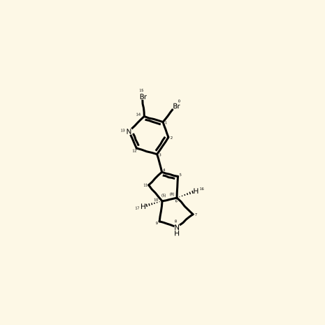 Brc1cc(C2=C[C@H]3CNC[C@H]3C2)cnc1Br